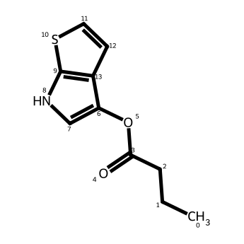 CCCC(=O)Oc1c[nH]c2sccc12